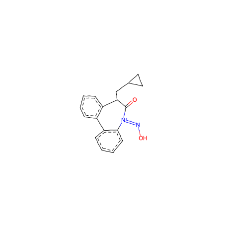 O=C1C(CC2CC2)c2ccccc2-c2ccccc2[N+]1=NO